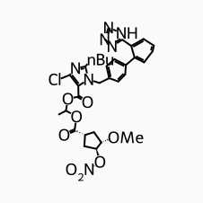 CCCCc1nc(Cl)c(C(=O)OC(C)OC(=O)[C@@H]2C[C@H](OC)[C@@H](O[N+](=O)[O-])C2)n1Cc1ccc(-c2ccccc2-c2nnn[nH]2)cc1